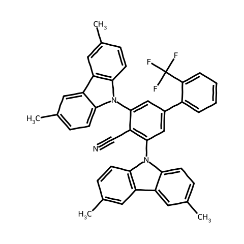 Cc1ccc2c(c1)c1cc(C)ccc1n2-c1cc(-c2ccccc2C(F)(F)F)cc(-n2c3ccc(C)cc3c3cc(C)ccc32)c1C#N